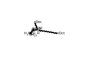 CCCCCCCCC=CCCCCCCCCCCCCCC(=O)NC(COP(=O)([O-])OCC[N+](C)(C)C)C(O)C=CCCCCCCCCCCCCC